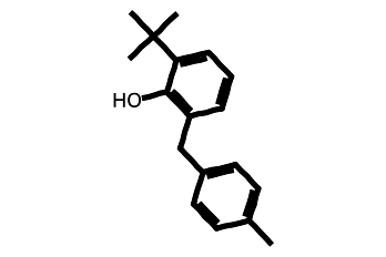 Cc1ccc(Cc2cccc(C(C)(C)C)c2O)cc1